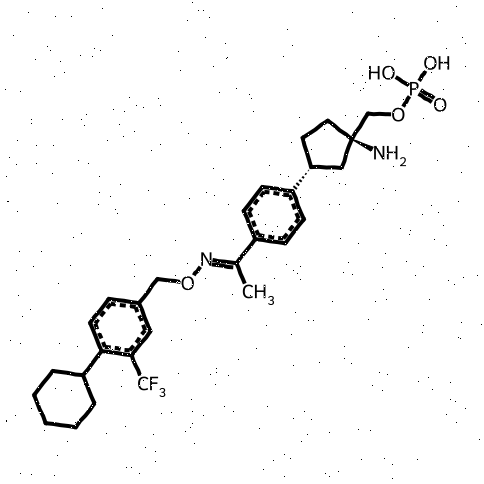 C/C(=N\OCc1ccc(C2CCCCC2)c(C(F)(F)F)c1)c1ccc([C@@H]2CC[C@](N)(COP(=O)(O)O)C2)cc1